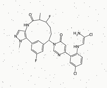 CC1C(=O)Nc2cnn(C)c2-c2cc(F)cc(c2)C(n2cnc(-c3cc(Cl)ccc3N/C=C(\N)Cl)cc2=O)CCC1F